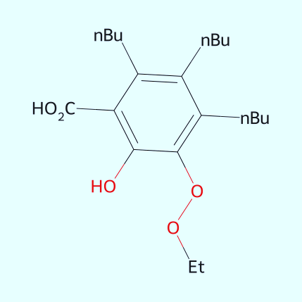 CCCCc1c(CCCC)c(OOCC)c(O)c(C(=O)O)c1CCCC